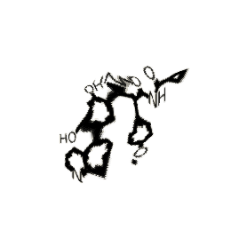 COc1ccc(-c2c(-c3cc(-c4cccc5ncccc45)c(O)cc3O)noc2NC(=O)C2CC2)cc1